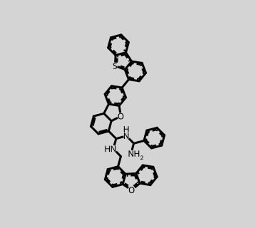 NC(NC(NCc1cccc2oc3ccccc3c12)C1=CC=CC2c3ccc(-c4cccc5c4sc4ccccc45)cc3OC12)c1ccccc1